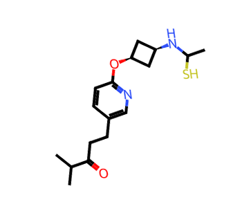 CC(S)N[C@H]1C[C@@H](Oc2ccc(CCC(=O)C(C)C)cn2)C1